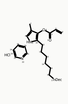 C=CC(=O)Oc1c(C)c[nH]c1CCCCCCCCCCCCCCCC.Cl.c1ccncc1